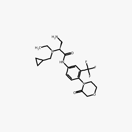 CCN(CC1CC1)[C@@H](CN)C(=O)Nc1ccc(N2CCOCC2=O)c(C(F)(F)F)c1